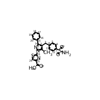 Cc1c(Cc2ccc(S(N)(=O)=O)cc2)c(-c2ccccc2)nn1-c1nc(C(=O)O)cs1